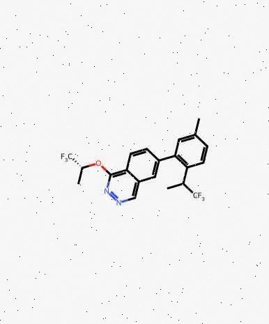 Cc1ccc(C(C)C(F)(F)F)c(-c2ccc3c(O[C@H](C)C(F)(F)F)nncc3c2)c1